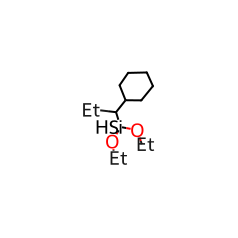 CCO[SiH](OCC)C(CC)C1CCCCC1